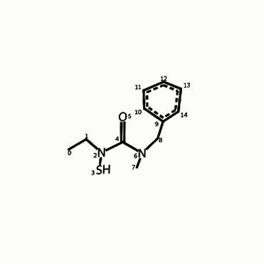 CCN(S)C(=O)N(C)Cc1ccccc1